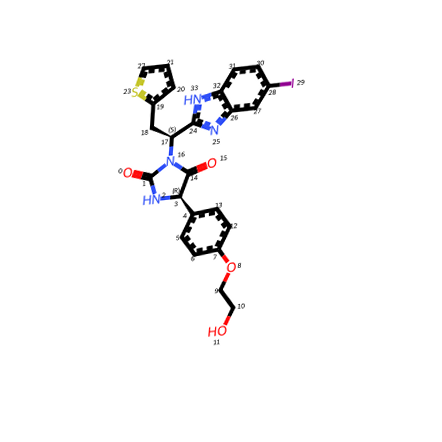 O=C1N[C@H](c2ccc(OCCO)cc2)C(=O)N1[C@@H](Cc1cccs1)c1nc2cc(I)ccc2[nH]1